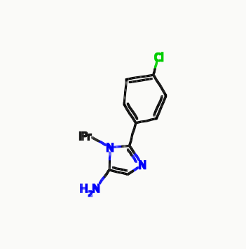 CC(C)n1c(N)cnc1-c1ccc(Cl)cc1